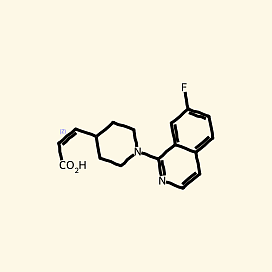 O=C(O)/C=C\C1CCN(c2nccc3ccc(F)cc23)CC1